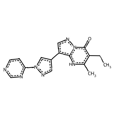 CCc1c(C)[nH]c2c(-c3cnn(-c4ccncn4)c3)cnn2c1=O